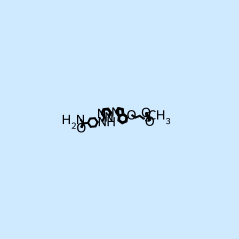 CS(=O)(=O)CCCOc1cccc2c1ccn2-c1ccnc(NC2CCC(C(N)=O)CC2)n1